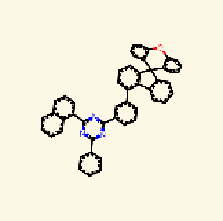 c1ccc(-c2nc(-c3cccc(-c4cccc5c4-c4ccccc4C54c5ccccc5Oc5ccccc54)c3)nc(-c3cccc4ccccc34)n2)cc1